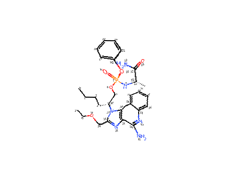 CCCC[C@H](COP(=O)(N[C@@H](C)C(N)=O)Oc1ccccc1)n1c(COCC)nc2c(N)nc3ccccc3c21